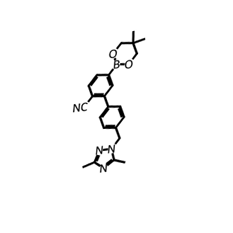 Cc1nc(C)n(Cc2ccc(-c3cc(B4OCC(C)(C)CO4)ccc3C#N)cc2)n1